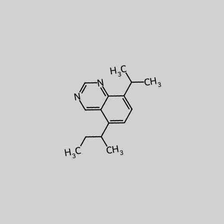 CCC(C)c1ccc(C(C)C)c2ncncc12